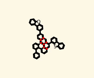 c1ccc(-c2ccccc2-c2c(-c3ccccc3)cccc2N(c2ccc(-c3ccc4oc5ccccc5c4c3)cc2)c2cccc(-c3cccc4c3sc3ccccc34)c2)cc1